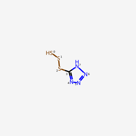 SSSc1nnn[nH]1